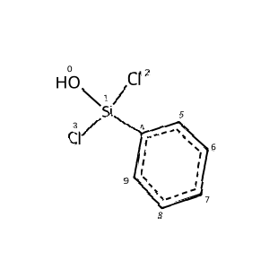 O[Si](Cl)(Cl)c1ccccc1